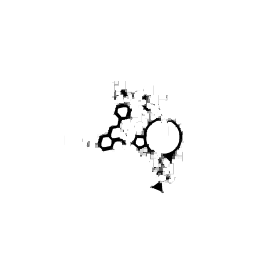 COc1ccc2c(O[C@H]3CC4C(=O)[C@@H](NC(=O)OC(C)(C)C)CNCCCCC[C@@H]5C[C@@]5(C(=O)NS(=O)(=O)C5CC5)NC(=O)[C@@H]4C3)nc(-c3ccc(OC(F)(F)F)cc3)cc2c1